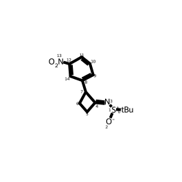 CC(C)(C)[S+]([O-])N=C1CCC1c1cccc([N+](=O)[O-])c1